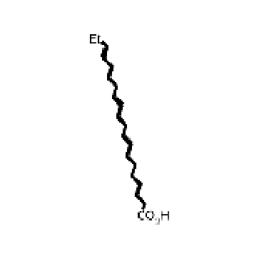 CC/C=C/CCC/C=C/CC/C=C/CCCCCCC(=O)O